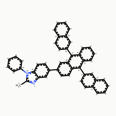 Cc1nc2cc(-c3ccc4c(-c5ccc6ccccc6c5)c5ccccc5c(-c5ccc6ccccc6c5)c4c3)ccc2n1-c1ccccc1